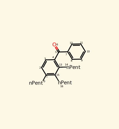 CCCCCc1ccc(C(=O)c2ccccc2)c(CCCCC)c1CCCCC